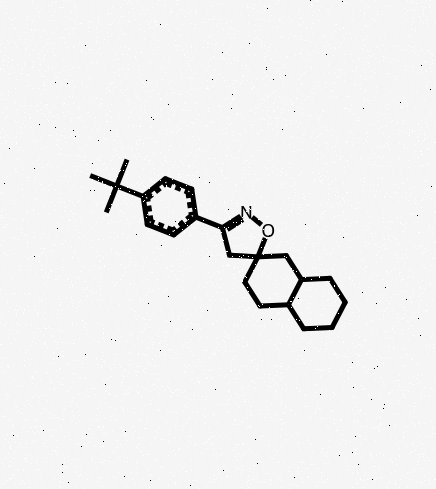 CC(C)(C)c1ccc(C2=NOC3(CCC4CCCCC4C3)C2)cc1